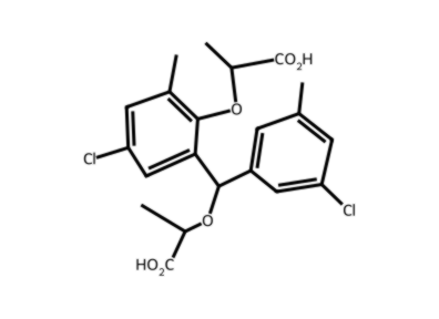 Cc1cc(Cl)cc(C(OC(C)C(=O)O)c2cc(Cl)cc(C)c2OC(C)C(=O)O)c1